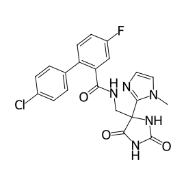 Cn1ccnc1C1(CNC(=O)c2cc(F)ccc2-c2ccc(Cl)cc2)NC(=O)NC1=O